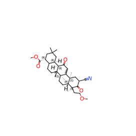 COCC[C@]1(C)C(=O)C(C#N)C[C@]2(C)C3=CC(=O)[C@@H]4[C@@H]5CC(C)(C)C[C@@H](C(=O)OC)C5CC[C@@]4(C)[C@]3(C)CC[C@@H]12